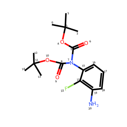 CC(C)(C)OC(=O)N(C(=O)OC(C)(C)C)c1cccc(N)c1F